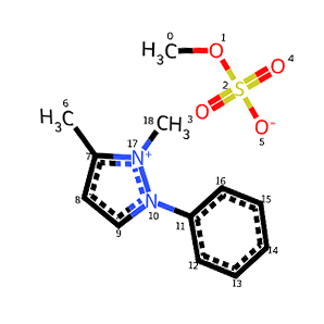 COS(=O)(=O)[O-].Cc1ccn(-c2ccccc2)[n+]1C